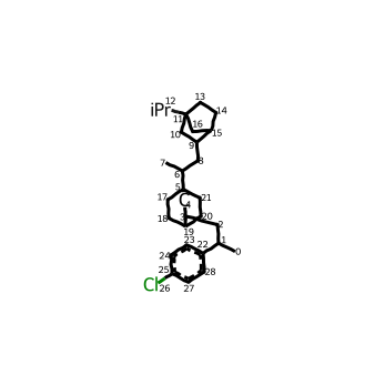 CC(CC1CC2(C(C)CC3CC4(C(C)C)CCC3C4)CCC1CC2)c1ccc(Cl)cc1